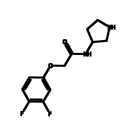 O=C(COc1ccc(F)c(F)c1)NC1CCNC1